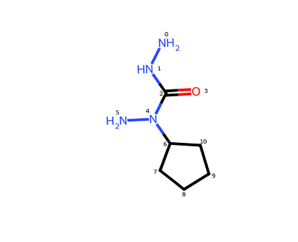 NNC(=O)N(N)C1CCCC1